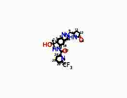 CC(C)(O)c1cc2nn(CC3CCC(=O)N3)cc2cc1NC(=O)c1cccc(C(F)(F)F)n1